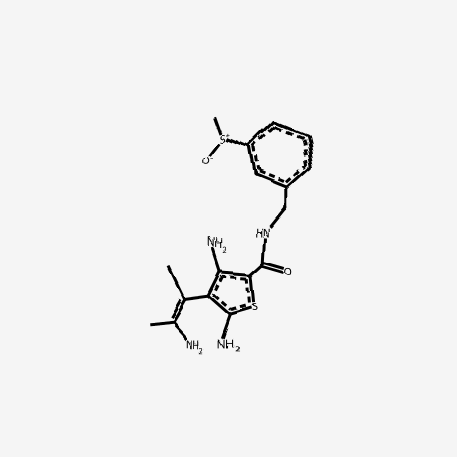 C/C(N)=C(\C)c1c(N)sc(C(=O)NCc2cccc([S+](C)[O-])c2)c1N